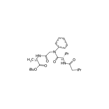 CC(C)COC(=O)[C@H](C)NC(=O)CN(C(=O)[C@@H](NC(=O)CC(C)C)C(C)C)c1ccccc1